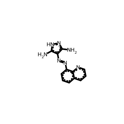 Nc1n[nH]c(N)c1N=Nc1cccc2cccnc12